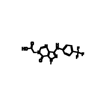 Cn1nc(Nc2ccc(C(F)(F)F)cc2)c2ncn(CC(=O)O)c(=O)c21